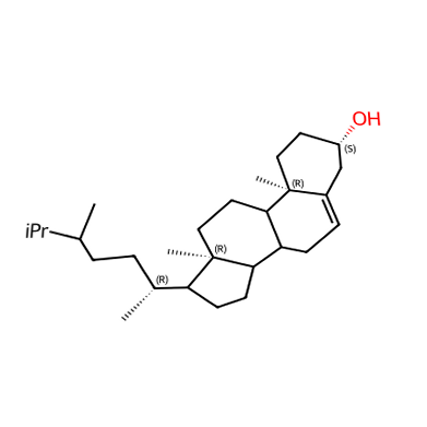 CC(C)C(C)CC[C@@H](C)C1CCC2C3CC=C4C[C@@H](O)CC[C@]4(C)C3CC[C@@]21C